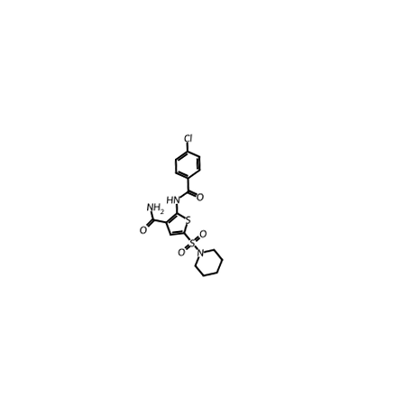 NC(=O)c1cc(S(=O)(=O)N2CCCCC2)sc1NC(=O)c1ccc(Cl)cc1